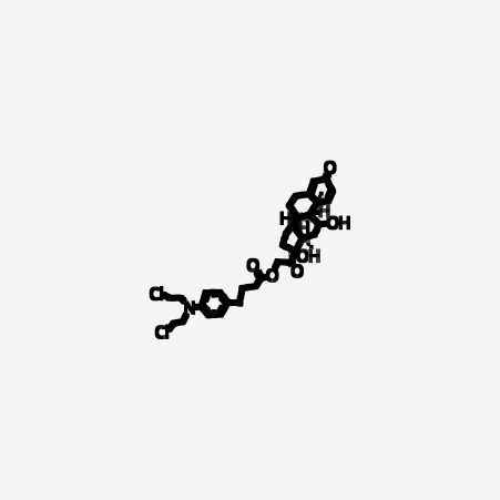 C[C@@]12C=CC(=O)C=C1CC[C@H]1[C@H]2C(O)C[C@]2(C)[C@@H]1CC[C@@]2(O)C(=O)COC(=O)CCCc1ccc(N(CCCl)CCCl)cc1